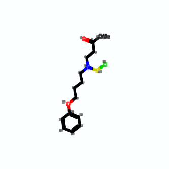 COC(=O)CCN(CCCCOc1ccccc1)SCl